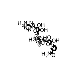 NC(=O)C1=CN(C2OC(COP(=O)(O)OP(=O)(O)OCC3OC(n4cnc5c(N)ncnc54)C(O)C3O)C(O)C2O)C=CC1